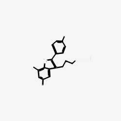 O=C(O)CCCc1c(-c2ccc(F)cc2)[nH]c2c(F)cc(F)cc12